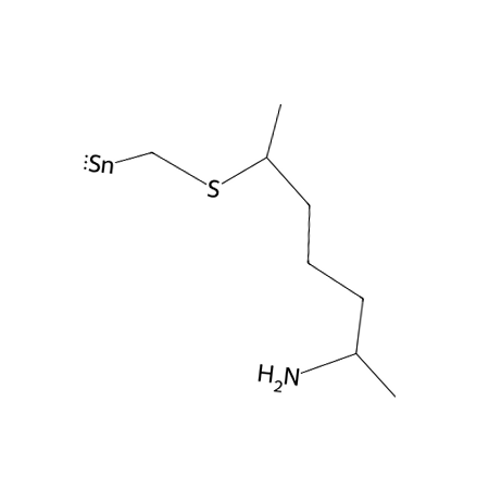 CC(N)CCCC(C)S[CH2][Sn]